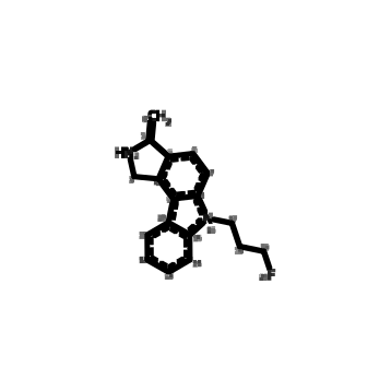 C=C1NCc2c1ccc1c2c2ccccc2n1CCCF